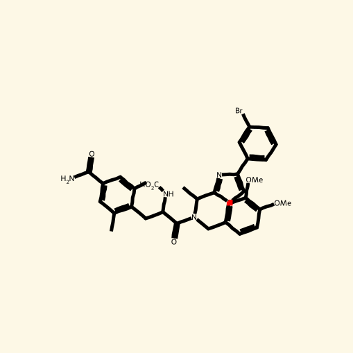 COc1ccc(CN(C(=O)C(Cc2c(C)cc(C(N)=O)cc2C)NC(=O)O)C(C)c2nc(-c3cccc(Br)c3)c[nH]2)cc1OC